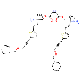 CC(N)(CCc1ccc(C#CCOCC2CCCCC2)s1)COC(=O)/C=C\C(=O)OCC(C)(N)CCc1ccc(C#CCOCC2CCCCC2)s1